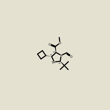 COC(=O)[C@@H]1[C@@H](C2CCC2)[Se][C@H](C(C)(C)C)N1C=O